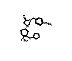 COc1ccc([C@@H]2CC(=O)N(Cc3ccc(NC(C)=O)cc3)C2)cc1OC1CCCC1